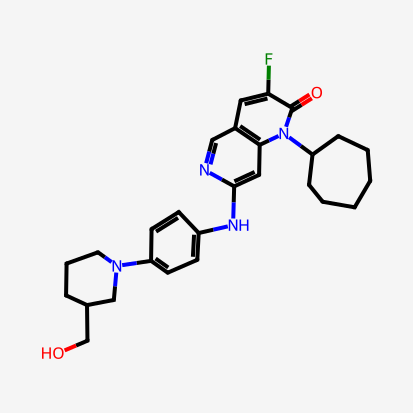 O=c1c(F)cc2cnc(Nc3ccc(N4CCCC(CO)C4)cc3)cc2n1C1CCCCCC1